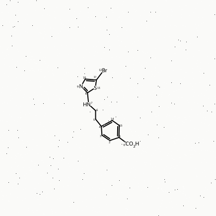 O=C(O)c1ccc(CCNc2ncc(Br)s2)cc1